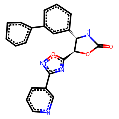 O=C1N[C@@H](c2cccc(-c3ccccc3)c2)[C@H](c2nc(-c3cccnc3)no2)O1